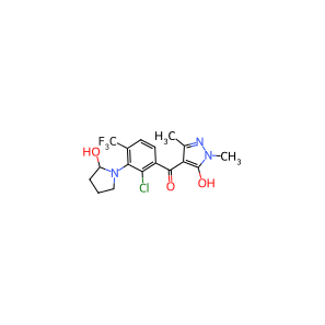 Cc1nn(C)c(O)c1C(=O)c1ccc(C(F)(F)F)c(N2CCCC2O)c1Cl